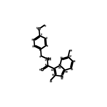 COc1ccc(CNC(=O)c2c(C)nc3ccc(C)cn23)cc1